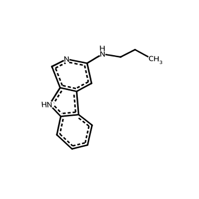 CCCNc1cc2c(cn1)[nH]c1ccccc12